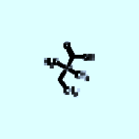 [CH2]C[N+](C)(C)C(=O)O